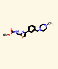 CN1CCN(Cc2cccc(-c3csc(CNC(=O)OC(C)(C)C)n3)c2)CC1